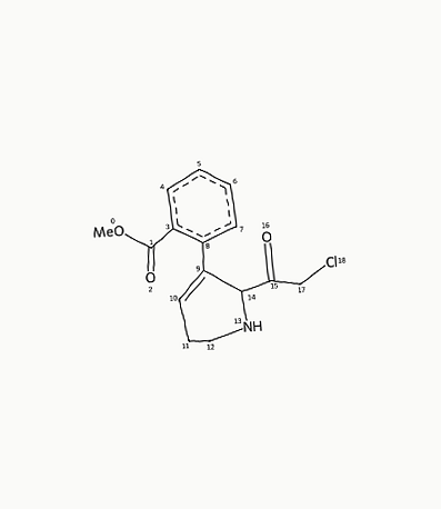 COC(=O)c1ccccc1C1=CCCNC1C(=O)CCl